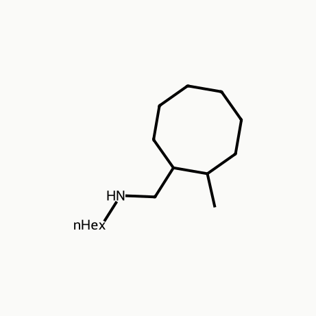 CCCCCCNCC1CCCCCCC1C